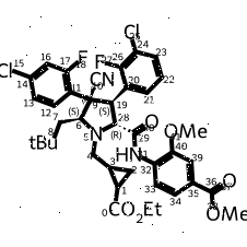 CCOC(=O)C1CC1CN1[C@@H](CC(C)(C)C)[C@](C#N)(c2ccc(Cl)cc2F)[C@@H](c2cccc(Cl)c2F)[C@@H]1C(=O)Nc1ccc(C(=O)OC)cc1OC